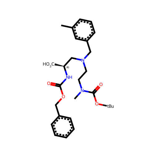 Cc1cccc(CN(CCN(C)C(=O)OC(C)(C)C)C[C@@H](NC(=O)OCc2ccccc2)C(=O)O)c1